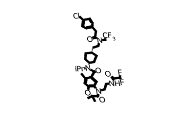 Cc1cc2c(cc1C(=O)N(C(C)C)[C@H]1CC[C@@H](CCN(CC(F)(F)F)C(=O)Cc3ccc(Cl)cc3)CC1)N(CCNC(=O)C(F)F)C(=O)C(C)(C)O2